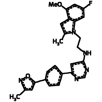 COc1cc(F)cc2c1cc(C)n2CCNc1cc(-c2ccc(-c3cc(C)no3)cc2)ncn1